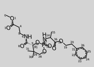 COC(=O)CCNC(=O)[C@@H]1O[P@@](=O)(NC(C)C(=O)OCCc2ccccc2)OCC1(C)C